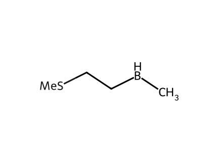 CBCCSC